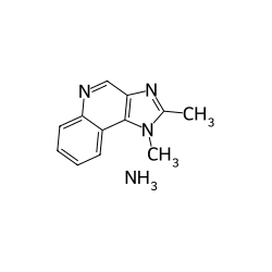 Cc1nc2cnc3ccccc3c2n1C.N